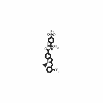 BC(B)(NC(=O)c1ccc2c(c1)cc(Cc1ccccc1C(F)(F)F)n2C1CC1)c1ccc(S(=O)(=O)CC)cc1